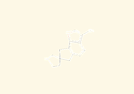 CC(C)(C)c1coc2c3c(ccc12)CC1(CCNC1)C3